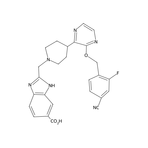 N#Cc1ccc(COc2nccnc2C2CCN(Cc3nc4ccc(C(=O)O)cc4[nH]3)CC2)c(F)c1